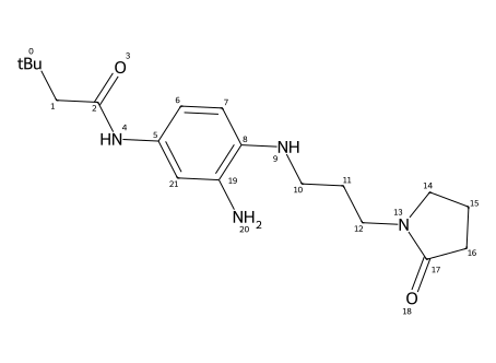 CC(C)(C)CC(=O)Nc1ccc(NCCCN2CCCC2=O)c(N)c1